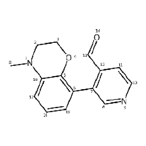 CN1CCOc2c(-c3cnccc3C=O)cccc21